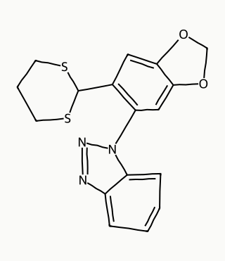 c1ccc2c(c1)nnn2-c1cc2c(cc1C1SCCCS1)OCO2